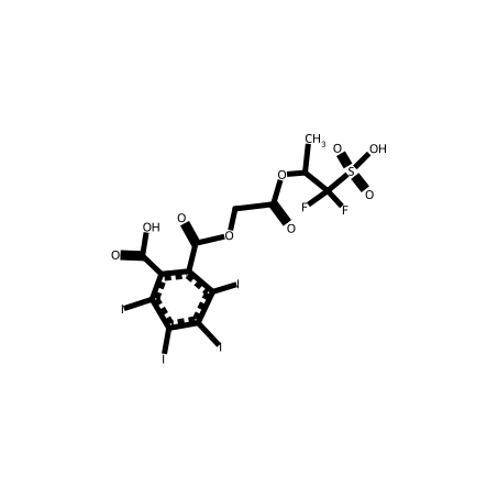 CC(OC(=O)COC(=O)c1c(I)c(I)c(I)c(I)c1C(=O)O)C(F)(F)S(=O)(=O)O